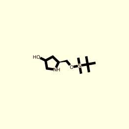 CC(C)(C)[Si](C)(C)OC[C@@H]1CC(O)CN1